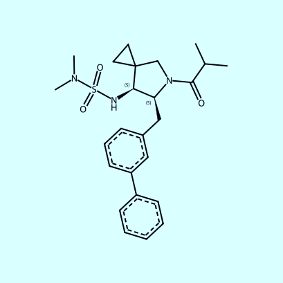 CC(C)C(=O)N1CC2(CC2)[C@H](NS(=O)(=O)N(C)C)[C@@H]1Cc1cccc(-c2ccccc2)c1